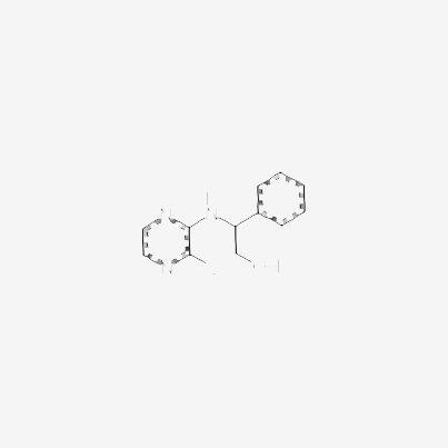 OCC(Nc1nccnc1Cl)c1ccccc1